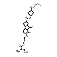 C=COC(=O)c1ccc(OC(=O)c2ccc3c(c2)C(C)c2c-3ccc(OCCCOC(=O)C(=C)CO)c2F)cc1